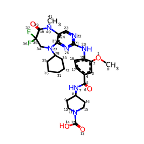 COc1cc(C(=O)NC2CCN(C(=O)O)CC2)ccc1Nc1ncc2c(n1)N(C1CCCCC1)CC(F)(F)C(=O)N2C